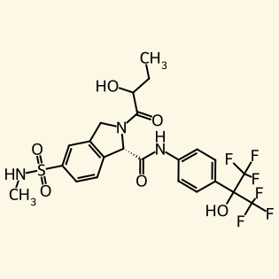 CCC(O)C(=O)N1Cc2cc(S(=O)(=O)NC)ccc2[C@H]1C(=O)Nc1ccc(C(O)(C(F)(F)F)C(F)(F)F)cc1